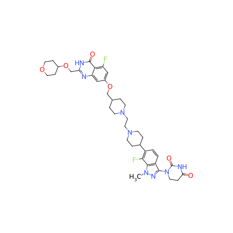 Cn1nc(N2CCC(=O)NC2=O)c2ccc(C3CCN(CCN4CCC(COc5cc(F)c6c(=O)[nH]c(COC7CCOCC7)nc6c5)CC4)CC3)c(F)c21